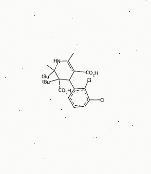 CC1=C(C(=O)O)C(c2cccc(Cl)c2Cl)C(C(=O)O)(C(C)(C)C)C(C)(C(C)(C)C)N1